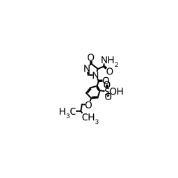 CC(C)COc1ccc(C(=O)N2C=NC(=O)C2C(N)=O)c(S(=O)(=O)O)c1